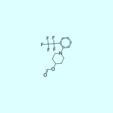 O=[C]OC1CCN(c2ccccc2C(F)(F)C(F)(F)F)CC1